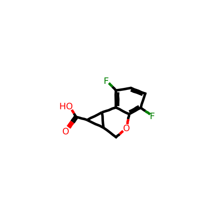 O=C(O)C1C2COc3c(F)ccc(F)c3C21